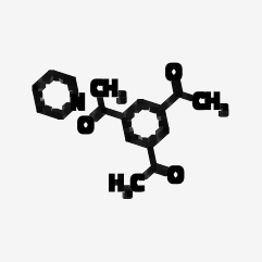 CC(=O)c1cc(C(C)=O)cc(C(C)=O)c1.c1ccncc1